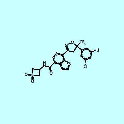 O=C(NC1CS(=O)(=O)C1)c1cnc(C2=NOC(c3cc(Cl)cc(Cl)c3)(C(F)(F)F)C2)c2sccc12